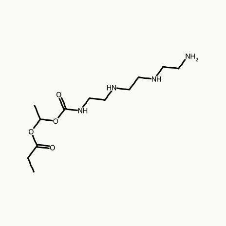 CCC(=O)OC(C)OC(=O)NCCNCCNCCN